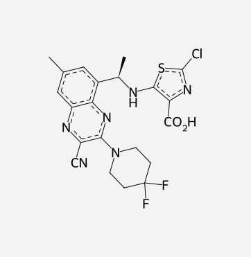 Cc1cc([C@@H](C)Nc2sc(Cl)nc2C(=O)O)c2nc(N3CCC(F)(F)CC3)c(C#N)nc2c1